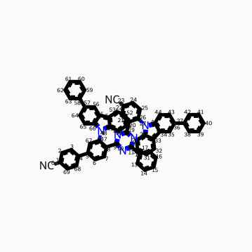 N#Cc1ccc(-c2ccc(-c3nc(-c4ccccc4)nc(-c4cc(C#N)ccc4-n4c5ccccc5c5cc(-c6ccccc6)ccc54)n3)c(-n3c4ccccc4c4cc(-c5ccccc5)ccc43)c2)cc1